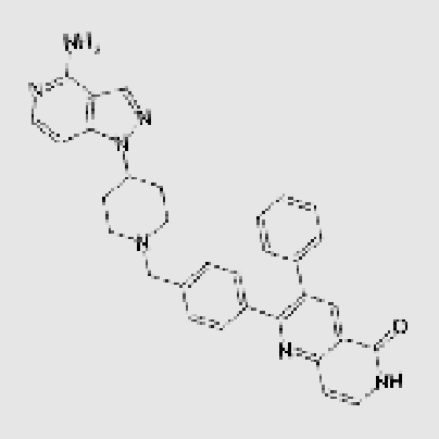 Nc1nccc2c1cnn2C1CCN(Cc2ccc(-c3nc4cc[nH]c(=O)c4cc3-c3ccccc3)cc2)CC1